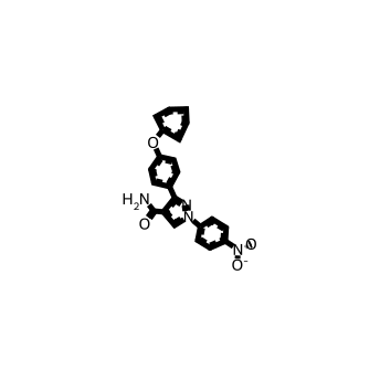 NC(=O)c1cn(-c2ccc([N+](=O)[O-])cc2)nc1-c1ccc(Oc2ccccc2)cc1